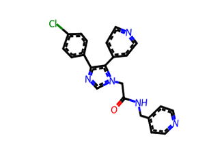 O=C(Cn1cnc(-c2ccc(Cl)cc2)c1-c1ccncc1)NCc1ccncc1